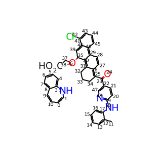 C1=CNc2ccccc2C=C1.Cc1ccccc1Nc1ccc(C(=O)C2=c3ccc4c(c3CCC2)C(OCC(=O)O)C=c2c(Cl)cccc2=4)cn1